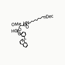 CCCCCCCCCCCCCCCCCCNC(=O)OCC(COP(O)Oc1cccc(C[n+]2cccc3ccccc32)c1)OC